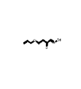 C=CCOCCC(=O)C=NO